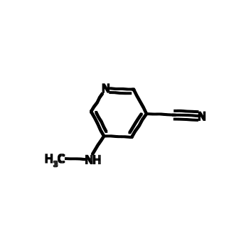 CNc1cncc(C#N)c1